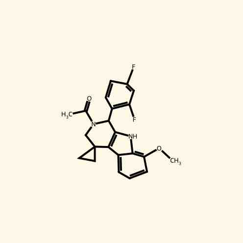 COc1cccc2c3c([nH]c12)C(c1ccc(F)cc1F)N(C(C)=O)CC31CC1